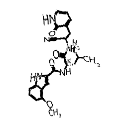 COc1cccc2[nH]c(C(=O)N[C@@H](CC(C)C)C(=O)NC(C#N)Cc3ccc[nH]c3=O)cc12